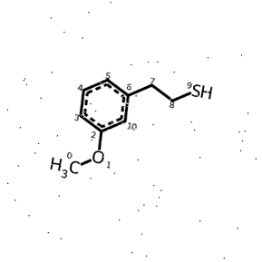 COc1cccc(CCS)c1